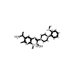 COc1nc(C)c(C(C)N)cc1N=C(NO)N1CCN(c2ccccc2SC)CC1